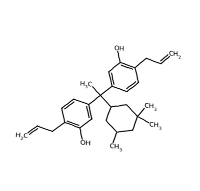 C=CCc1ccc(C(C)(c2ccc(CC=C)c(O)c2)C2CC(C)CC(C)(C)C2)cc1O